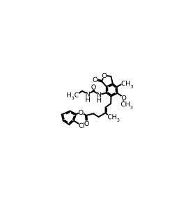 CCNC(=O)Nc1c(C/C=C(\C)CCC(=O)Oc2ccccc2Cl)c(OC)c(C)c2c1C(=O)OC2